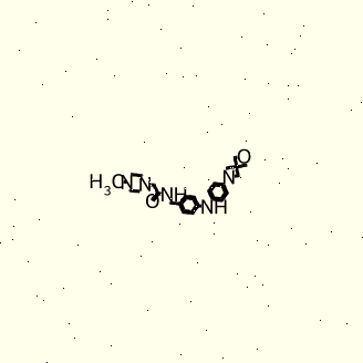 CN1CCN(CC(=O)NCc2ccc(Nc3ccc(N4CC5(COC5)C4)cc3)cc2)CC1